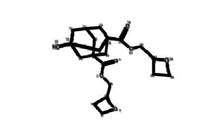 O=C(OCC1CCO1)C12CC3CC(O)(C1)CC(C(=O)OCC1CCO1)(C3)C2